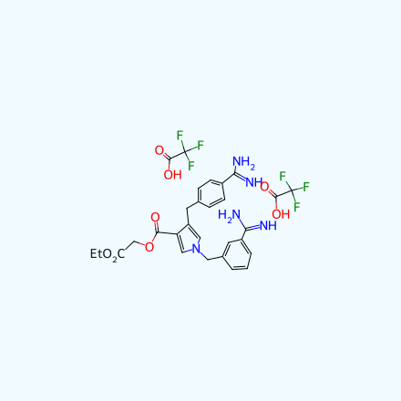 CCOC(=O)COC(=O)c1cn(Cc2cccc(C(=N)N)c2)cc1Cc1ccc(C(=N)N)cc1.O=C(O)C(F)(F)F.O=C(O)C(F)(F)F